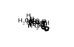 CNc1nc(N)nc2c1ncn2[C@@H]1O[C@H](CO[PH](=O)Oc2cccc3ccccc23)[C@@H](O)[C@@]1(C)F